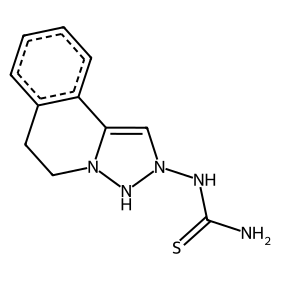 NC(=S)NN1C=C2c3ccccc3CCN2N1